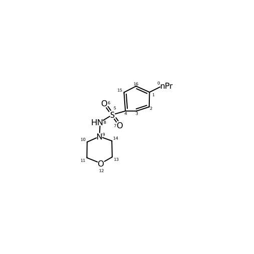 CCCc1ccc(S(=O)(=O)NN2CCOCC2)cc1